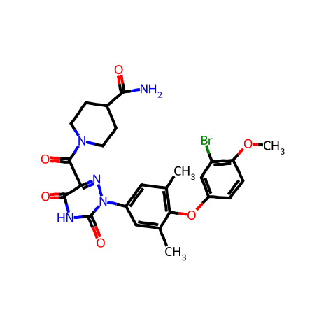 COc1ccc(Oc2c(C)cc(-n3nc(C(=O)N4CCC(C(N)=O)CC4)c(=O)[nH]c3=O)cc2C)cc1Br